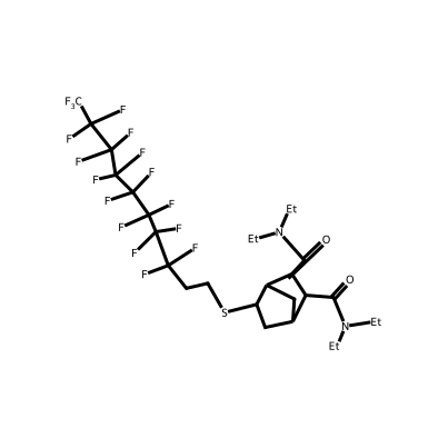 CCN(CC)C(=O)C1C2CC(SCCC(F)(F)C(F)(F)C(F)(F)C(F)(F)C(F)(F)C(F)(F)C(F)(F)C(F)(F)F)C(C2)C1C(=O)N(CC)CC